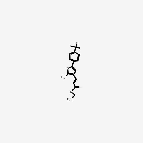 CCOC(=O)/C=C/c1cc(-c2ccc(C(F)(F)F)cc2)oc1C